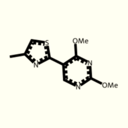 COc1ncc(-c2nc(C)cs2)c(OC)n1